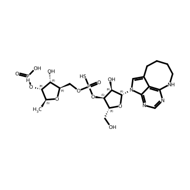 C[C@@H]1O[C@H](COP(=O)(S)O[C@H]2[C@@H](O)[C@H](n3cc4c5c(ncnc53)NCCCC4)O[C@@H]2CO)[C@@H](O)[C@H]1O[PH](=O)O